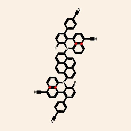 N#Cc1ccc(-c2ccc(F)c(N(c3ccccc3)c3ccc4ccc5c(N(c6ccccc6)c6c(F)ccc(-c7ccc(C#N)cc7)c6-c6ccc(C#N)cc6)ccc6ccc3c4c65)c2-c2ccc(C#N)cc2)cc1